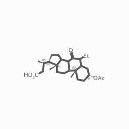 CCC1C(=O)C2C(CC[C@@]3(C)C2CC[C@@H]3[C@H](C)CC(=O)O)[C@@]2(C)CC[C@@H](OC(C)=O)CC12